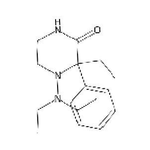 CCN(CC)N1CCNC(=O)C1(CC)c1ccccc1